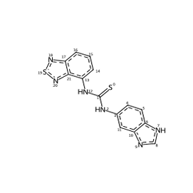 S=C(Nc1ccc2[nH]cnc2c1)Nc1cccc2nsnc12